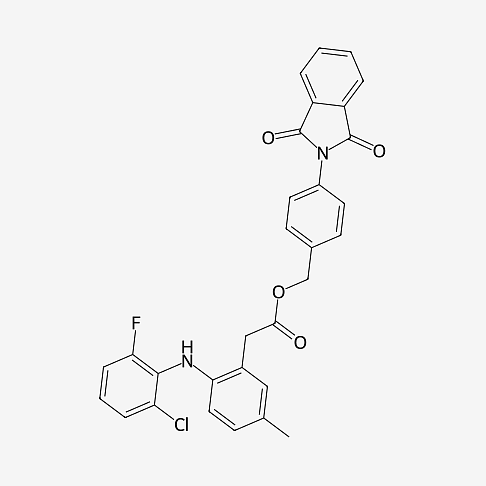 Cc1ccc(Nc2c(F)cccc2Cl)c(CC(=O)OCc2ccc(N3C(=O)c4ccccc4C3=O)cc2)c1